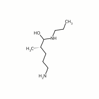 CCCNC(O)[C@@H](C)CCCN